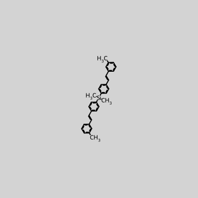 Cc1cccc(/C=C/c2ccc([Si](C)(C)c3ccc(/C=C/c4cccc(C)c4)cc3)cc2)c1